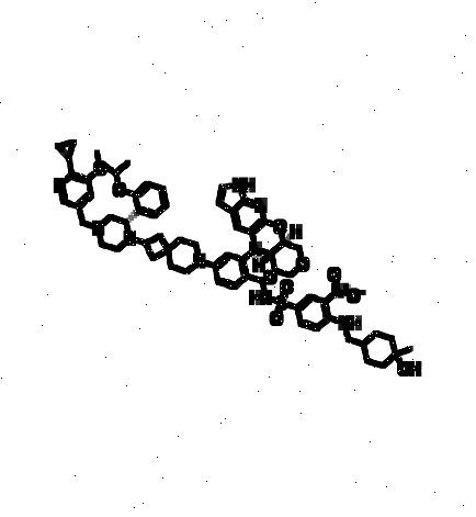 COc1cc(CN2CCN(C3CC4(CCN(c5ccc(C(=O)NS(=O)(=O)c6ccc(NCC7CCC(C)(O)CC7)c([N+](=O)[O-])c6)c(N6c7cc8cc[nH]c8nc7O[C@H]7COCC[C@@H]76)c5)CC4)C3)[C@@H](c3ccccc3OC(C)C)C2)cnc1C1CC1